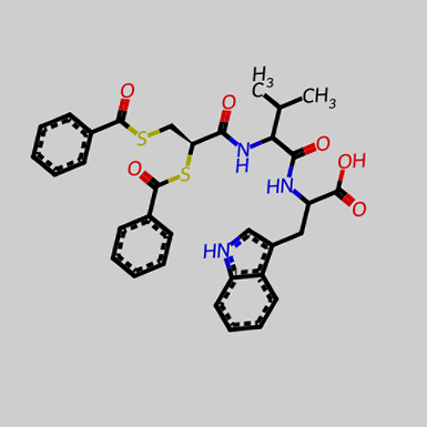 CC(C)C(NC(=O)[C@H](CSC(=O)c1ccccc1)SC(=O)c1ccccc1)C(=O)NC(Cc1c[nH]c2ccccc12)C(=O)O